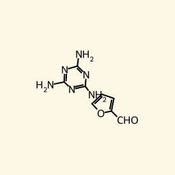 Nc1nc(N)nc(N)n1.O=Cc1ccco1